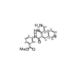 COC(=O)c1cccc(NC(=O)/C=C/c2cnccc2/C(C=N)=C/N)c1